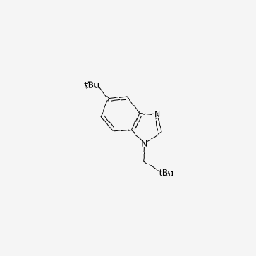 CC(C)(C)Cn1cnc2cc(C(C)(C)C)ccc21